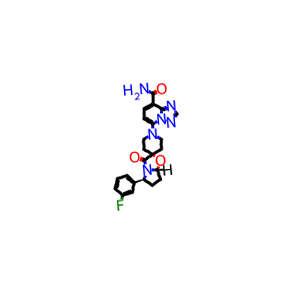 NC(=O)c1ccc(N2CCC3(CC2)O[C@@H]2CC[C@@H](c4cccc(F)c4)N2C3=O)n2ncnc12